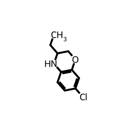 CCC1COc2cc(Cl)ccc2N1